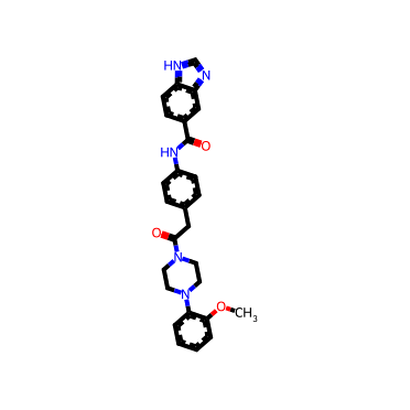 COc1ccccc1N1CCN(C(=O)Cc2ccc(NC(=O)c3ccc4[nH]cnc4c3)cc2)CC1